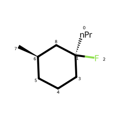 CCC[C@]1(F)CCC[C@@H](C)C1